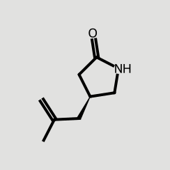 C=C(C)C[C@@H]1CNC(=O)C1